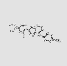 OC[C@@H](O)c1cnc(-c2cnc3c(Nc4ccc(C(F)(F)F)cn4)nccc3c2)c(F)c1